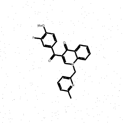 COc1ccc(C(=O)c2cn(Cc3cccc(C)n3)c3ccccc3c2=O)cc1F